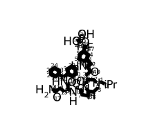 CC(C)CN1CC[C@H]2CC[C@@H](C(=O)N[C@@H](CCC(N)=O)C(=O)NC(c3ccccc3)c3ccccc3)N2C(=O)[C@@H](CC(=O)c2cc3cc(C(F)(F)OP(O)O)ccc3[nH]2)C1